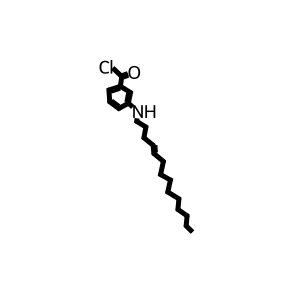 CCCCCCCCCC=CCCCNc1cccc(C(=O)Cl)c1